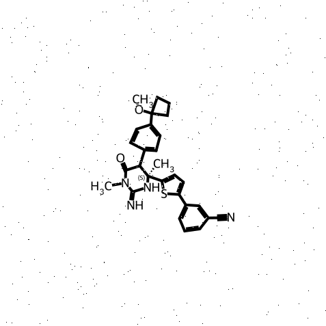 COC1(c2ccc(C3C(=O)N(C)C(=N)N[C@]3(C)c3ccc(-c4cccc(C#N)c4)s3)cc2)CCC1